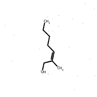 CCCC/C=C(/C)CO